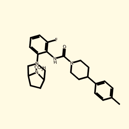 Cc1ccc(C2CCN(C(=O)Nc3c(F)cccc3N3CC4CCC(C3)N4C(=O)O)CC2)cc1